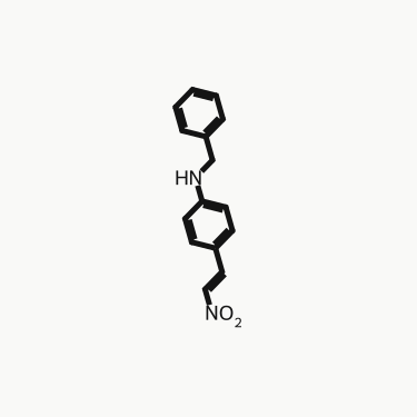 O=[N+]([O-])/C=C/c1ccc(NCc2ccccc2)cc1